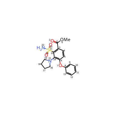 COC(=O)c1ccc(Oc2ccccc2)c(N2CCCC2)c1S(N)(=O)=O